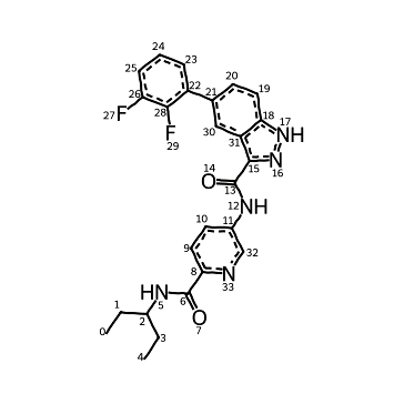 CCC(CC)NC(=O)c1ccc(NC(=O)c2n[nH]c3ccc(-c4cccc(F)c4F)cc23)cn1